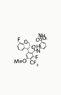 COc1cc(C2CCOc3c(F)cccc32)c(C(=O)Nc2cccc(S(N)(=O)=O)c2)c(F)c1C(F)(F)F